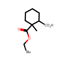 CCC(C)COC(=O)C1(C)CCCCC1C(=O)O